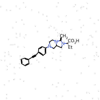 C=C1N2CCN(c3ccc(C#Cc4ccccc4)cc3)CC2CN1[C@@H](CC)C(=O)O